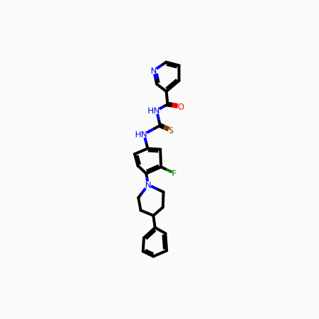 O=C(NC(=S)Nc1ccc(N2CCC(c3ccccc3)CC2)c(F)c1)c1cccnc1